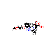 CCOCCCOc1cccc2c3n(nc12)CC(C(C)(C)C)n1cc(C(=O)O)c(=O)cc1-3